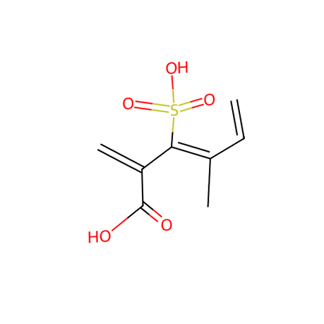 C=CC(C)=C(C(=C)C(=O)O)S(=O)(=O)O